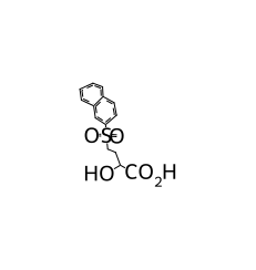 O=C(O)C(O)CCS(=O)(=O)c1ccc2ccccc2c1